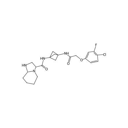 O=C(COc1ccc(Cl)c(F)c1)NC12CC(NC(=O)C3CNC4CCCCN43)(C1)C2